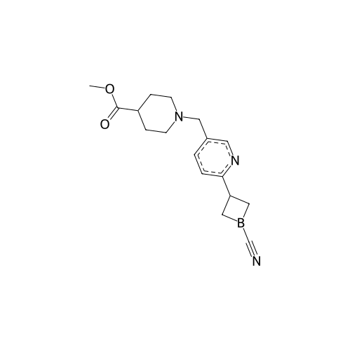 COC(=O)C1CCN(Cc2ccc(C3CB(C#N)C3)nc2)CC1